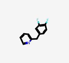 Fc1ccc([CH]c2ccccn2)cc1F